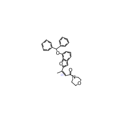 C/C(=C/C(=O)N1CCOCC1)c1cc2cccc(OC(c3ccccc3)c3ccccc3)c2o1